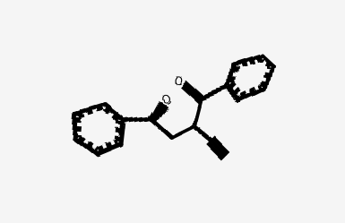 C#CC(CC(=O)c1ccccc1)C(=O)c1ccccc1